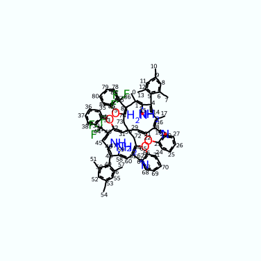 CC1=C(N)\C(c2c(C)cc(C)cc2C)=C(N)\C(C)=C(C#N)/C(Oc2ccccc2)=C/C2(/C=C(Oc3ccccc3)/C(C(F)(F)F)=C\C(N)=C(c3c(C)cc(C)cc3C)\C(N)=C\C(C#N)=C(\Oc3ccccc3)C2)C/C(Oc2ccccc2)=C\1C(F)(F)F